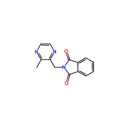 Cc1nccnc1CN1C(=O)c2ccccc2C1=O